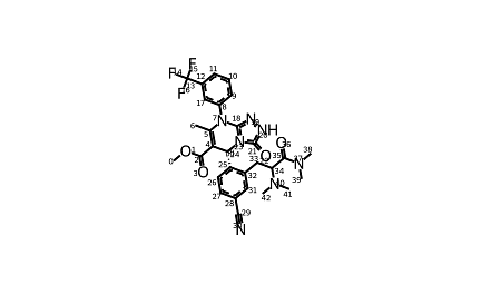 COC(=O)C1=C(C)N(c2cccc(C(F)(F)F)c2)c2n[nH]c(=O)n2[C@@H]1c1ccc(C#N)cc1CC(C(=O)N(C)C)N(C)C